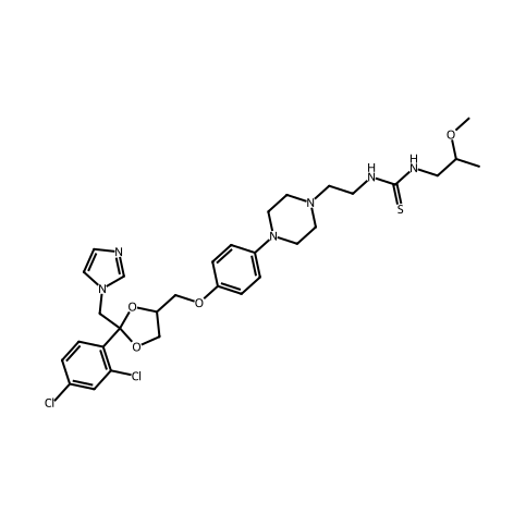 COC(C)CNC(=S)NCCN1CCN(c2ccc(OCC3COC(Cn4ccnc4)(c4ccc(Cl)cc4Cl)O3)cc2)CC1